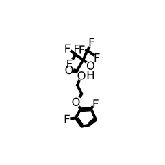 O=C(OCCOc1c(F)cccc1F)C(O)(C(F)(F)F)C(F)(F)F